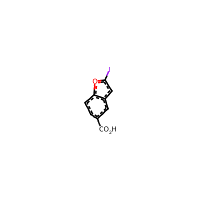 O=C(O)c1ccc2oc(I)cc2c1